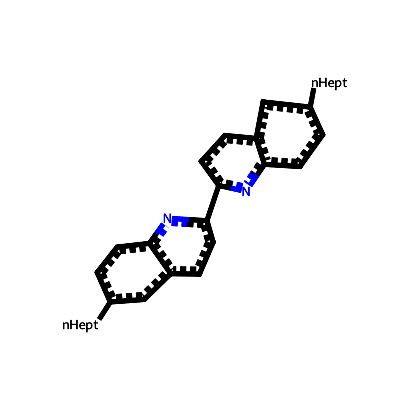 CCCCCCCc1ccc2nc(-c3ccc4cc(CCCCCCC)ccc4n3)ccc2c1